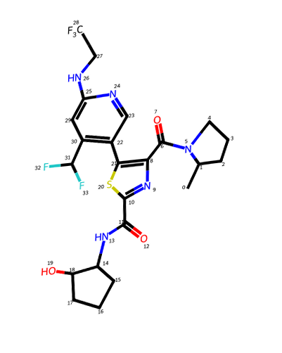 CC1CCCN1C(=O)c1nc(C(=O)NC2CCCC2O)sc1-c1cnc(NCC(F)(F)F)cc1C(F)F